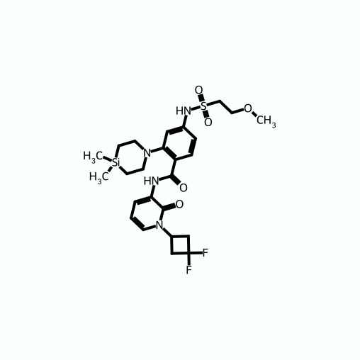 COCCS(=O)(=O)Nc1ccc(C(=O)Nc2cccn(C3CC(F)(F)C3)c2=O)c(N2CC[Si](C)(C)CC2)c1